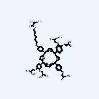 C=C(C)C(=O)OCCCCCCOc1ccc(-c2c3nc(c(-c4ccc(OCC(CC)CCCC)c(OCC(CC)CCCC)c4)c4ccc([nH]4)c(-c4ccc(OCC(CC)CCCC)cc4)c4nc(c(-c5ccc(OCC(CC)CCCC)c(OCC(CC)CCCC)c5)c5ccc2[nH]5)C=C4)C=C3)cc1